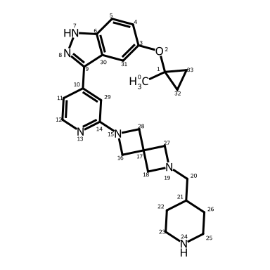 CC1(Oc2ccc3[nH]nc(-c4ccnc(N5CC6(CN(CC7CCNCC7)C6)C5)c4)c3c2)CC1